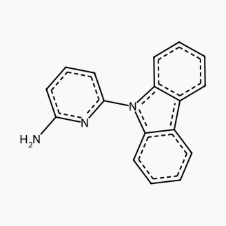 Nc1cccc(-n2c3ccccc3c3ccccc32)n1